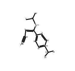 CC(C)S/C(=C/C#N)c1ccc(C(C)C)cc1